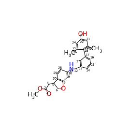 COC(=O)CC1COc2cc(NCc3cccc(-c4c(C)cc(O)cc4C)c3)ccc21